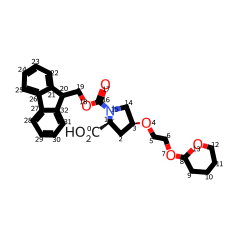 O=C(O)[C@@H]1C[C@@H](OCCOC2CCCCO2)CN1C(=O)OCC1c2ccccc2-c2ccccc21